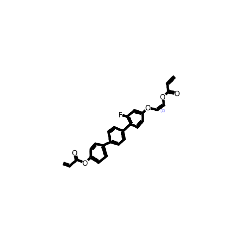 C=CC(=O)O/C=C\Oc1ccc(-c2ccc(-c3ccc(OC(=O)C=C)cc3)cc2)c(F)c1